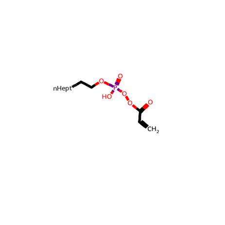 C=CC(=O)OOP(=O)(O)OCCCCCCCCC